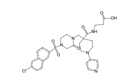 O=C(O)CCNC(=O)C1(CN2CCN(S(=O)(=O)c3ccc4cc(Cl)ccc4c3)CC2=O)CCN(c2ccncc2)CC1